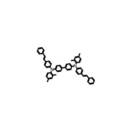 Cc1ccc(N(c2ccc(/C=C/c3ccccc3)cc2)c2ccc(-c3ccc(N(c4ccc(/C=C/c5ccccc5)cc4)c4ccc(C)cc4C)cc3)cc2)c(C)c1